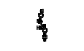 CN1CCN(c2ccc3nc(-c4cnn(-c5ccc(Cl)cc5)c4)[nH]c3c2)CC1